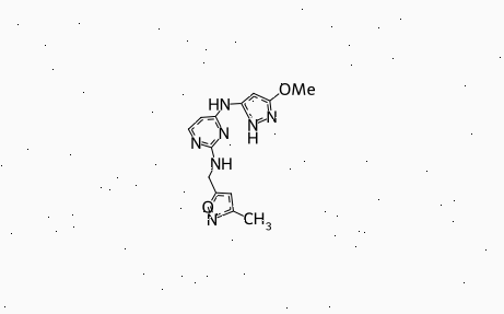 COc1cc(Nc2ccnc(NCc3cc(C)no3)n2)[nH]n1